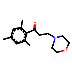 Cc1cc(C)c(C(=O)CCN2CCOCC2)c(C)c1